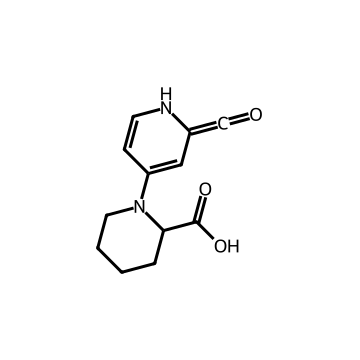 O=C=C1C=C(N2CCCCC2C(=O)O)C=CN1